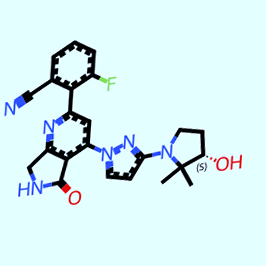 CC1(C)[C@@H](O)CCN1c1ccn(-c2cc(-c3c(F)cccc3C#N)nc3c2C(=O)NC3)n1